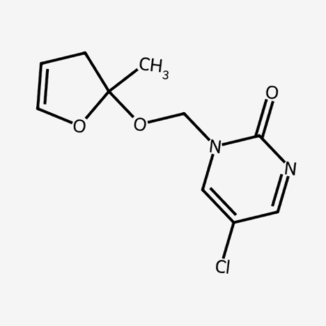 CC1(OCn2cc(Cl)cnc2=O)CC=CO1